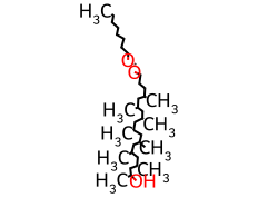 CCCCCCCCOCOCCCC(C)CC(C)CC(C)CC(C)CC(C)CC(C)CC(C)CC(C)O